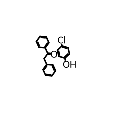 O=C(Cc1ccccc1)c1ccccc1.Oc1ccc(Cl)cc1